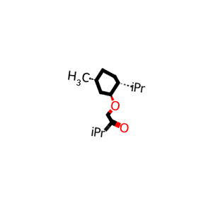 CC(C)C(=O)CO[C@H]1C[C@H](C)CC[C@@H]1C(C)C